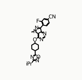 CC(C)c1noc(C2CCC(Oc3ncnc4c(-c5ccc(C#N)cc5F)nn(C)c34)CC2)n1